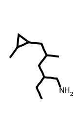 CCC(CN)CC(C)CC1CC1C